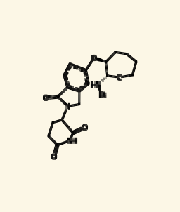 CCN[C@H]1CCCCC[C@@H]1Oc1ccc2c(c1)CN(C1CCC(=O)NC1=O)C2=O